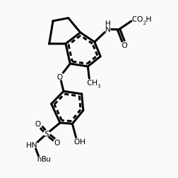 CCCCNS(=O)(=O)c1cc(Oc2c(C)cc(NC(=O)C(=O)O)c3c2CCC3)ccc1O